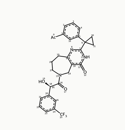 CC(=O)c1cccc(C2(c3nc4c(c(=O)[nH]3)CN(C(=O)[C@H](O)c3cccc(C(F)(F)F)c3)CCC4)CC2)c1